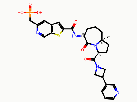 O=C(N[C@H]1CCC[C@H]2CC[C@@H](C(=O)N3CC(c4cccnc4)C3)N2C1=O)c1cc2cc(CP(=O)(O)O)ncc2s1